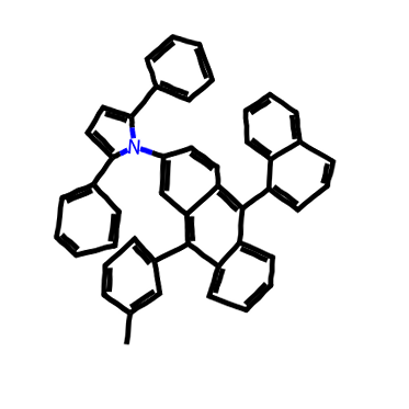 Cc1cccc(-c2c3ccccc3c(-c3cccc4ccccc34)c3ccc(-n4c(-c5ccccc5)ccc4-c4ccccc4)cc23)c1